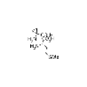 CSCCC(N)C(=O)O.NC1(C(=O)O)CC1